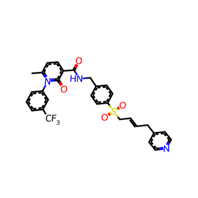 Cc1ccc(C(=O)NCc2ccc(S(=O)(=O)CC=CCc3ccncc3)cc2)c(=O)n1-c1cccc(C(F)(F)F)c1